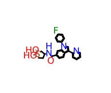 O=C(NC1CCS(O)(O)C1)c1ccc2c(-c3ccccn3)cn(-c3ccc(F)cc3)c2c1